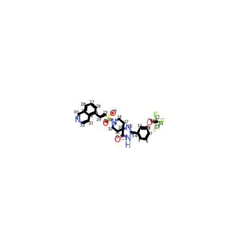 O=C1NC(c2cccc(OC(F)(F)F)c2)=NC12CCN(S(=O)(=O)/C=C/c1cccc3cnccc13)CC2